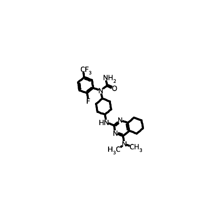 CN(C)c1nc(NC2CCC(N(C(N)=O)c3cc(C(F)(F)F)ccc3F)CC2)nc2c1CCCC2